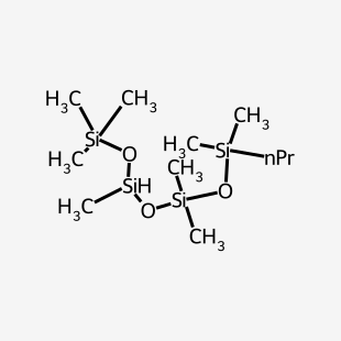 CCC[Si](C)(C)O[Si](C)(C)O[SiH](C)O[Si](C)(C)C